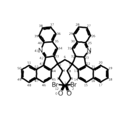 O=C(Br)CCC1(CC2(CCC(=O)Br)c3ccc4ccccc4c3C3N=c4ccccc4=CC32)c2cc3ccccc3nc2-c2c1ccc1ccccc21